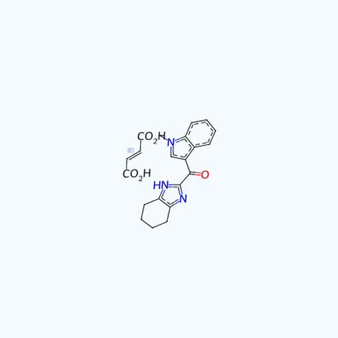 Cn1cc(C(=O)c2nc3c([nH]2)CCCC3)c2ccccc21.O=C(O)/C=C/C(=O)O